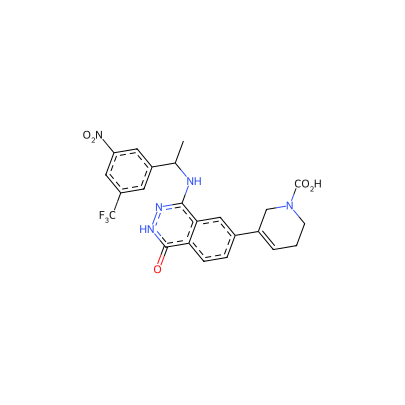 CC(Nc1n[nH]c(=O)c2ccc(C3=CCCN(C(=O)O)C3)cc12)c1cc([N+](=O)[O-])cc(C(F)(F)F)c1